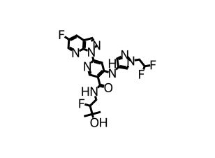 CC(C)(O)C(F)CNC(=O)c1cnc(-n2ncc3cc(F)cnc32)cc1Nc1cnn(CC(F)F)c1